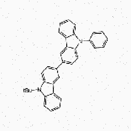 CC(C)(C)n1c2ccccc2c2cc(-c3ccc4c(c3)c3ccccc3n4-c3ccccc3)ccc21